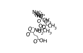 CC(=O)[O-].CC(=O)[O-].CC(=O)[O-].NC(CCC(=O)O)C(=O)[O-].[Na+].[Na+].[Na+].[Na+]